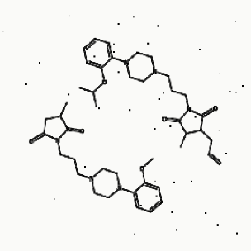 C=CCC1C(=O)N(CCCN2CCN(c3ccccc3OC(C)C)CC2)C(=O)C1C.COc1ccccc1N1CCN(CCCN2C(=O)CC(C)C2=O)CC1